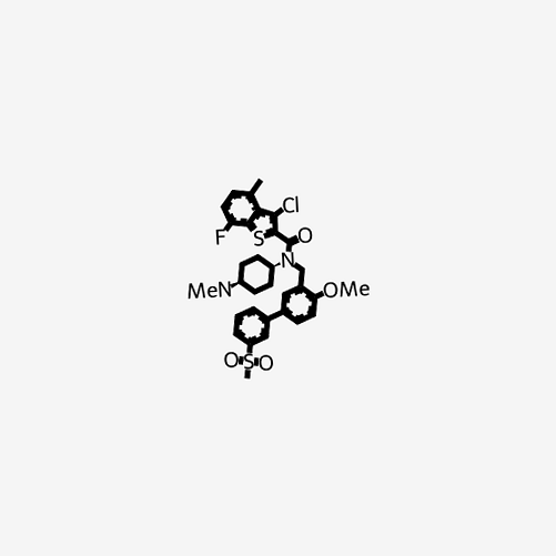 CN[C@H]1CC[C@H](N(Cc2cc(-c3cccc(S(C)(=O)=O)c3)ccc2OC)C(=O)c2sc3c(F)ccc(C)c3c2Cl)CC1